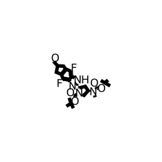 CN(C(=O)OC(C)(C)C)[C@@H]1C[C@@H](c2nc3c(F)c4c(c(F)c3[nH]2)CC(C=O)C4)N(C(=O)OC(C)(C)C)C1